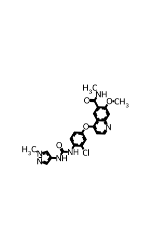 CNC(=O)c1cc2c(Oc3ccc(NC(=O)Nc4cnn(C)c4)c(Cl)c3)ccnc2cc1OC